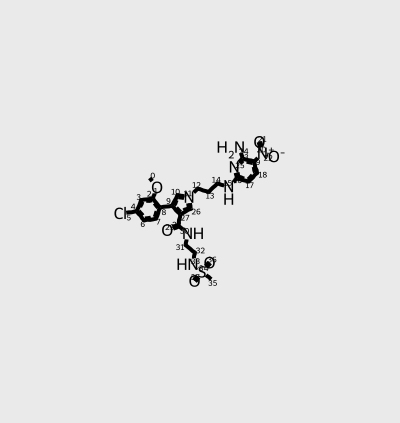 COc1cc(Cl)ccc1-c1cn(CCCNc2ccc([N+](=O)[O-])c(N)n2)cc1C(=O)NCCNS(C)(=O)=O